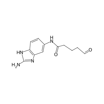 Nc1nc2cc(NC(=O)CCCC=O)ccc2[nH]1